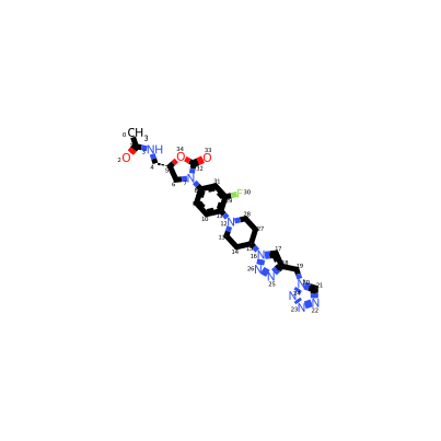 CC(=O)NC[C@H]1CN(c2ccc(N3CCC(n4cc(Cn5cnnn5)nn4)CC3)c(F)c2)C(=O)O1